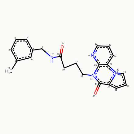 Cc1cccc(CNC(=O)CCCn2c(=O)c3cccn3c3cccnc32)c1